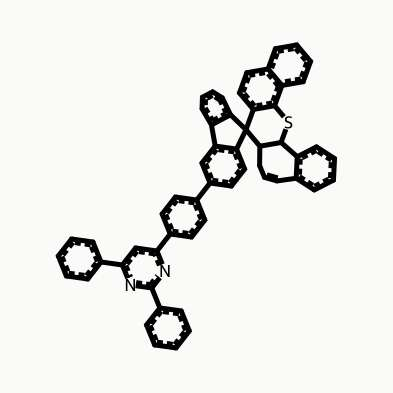 C1=Cc2ccccc2C2Sc3c(ccc4ccccc34)C3(c4ccccc4-c4cc(-c5ccc(-c6cc(-c7ccccc7)nc(-c7ccccc7)n6)cc5)ccc43)C2C1